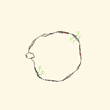 Fc1c2ccc(c1F)-c1ccc(cc1)-c1ccc(cc1)-c1ccc(cc1)-c1ccc(cc1)-c1c(F)c(F)c(c(F)c1F)-c1ccc(cc1)-c1ccc(cc1)-c1ccc(cc1)-c1ccc-2cc1